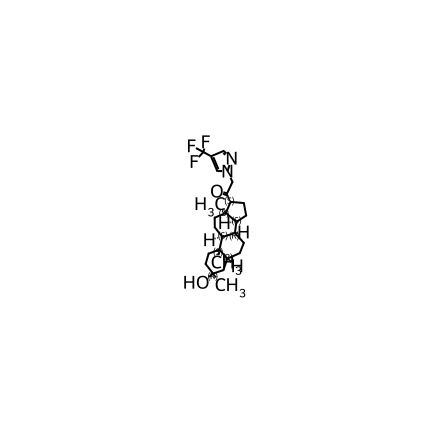 C[C@@]1(O)CC[C@@]2(C)[C@H](CC[C@@H]3[C@@H]2CC[C@]2(C)[C@@H](C(=O)Cn4cc(C(F)(F)F)cn4)CC[C@@H]32)C1